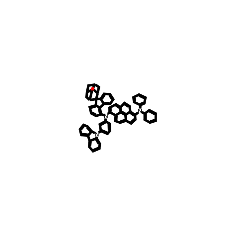 c1ccc(N(c2ccccc2)c2ccc3ccc4c(N(c5cccc(-n6c7ccccc7c7ccccc76)c5)c5cccc6c5-c5ccccc5C65C6CC7CC(C6)CC5C7)ccc5ccc2c3c54)cc1